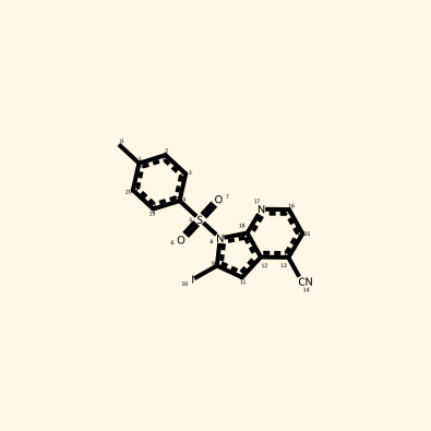 Cc1ccc(S(=O)(=O)n2c(I)cc3c(C#N)ccnc32)cc1